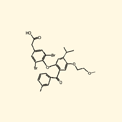 COCCOc1cc(C(=O)c2cccc(C)c2)c(Oc2c(Br)cc(CC(=O)O)cc2Br)cc1C(C)C